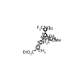 CCOC(=O)CCN1CCN(c2cnc(-c3nc4nc(-c5cc(OCC)nc(C(F)(F)F)c5)cc(N(C)CC(C)(C)COC)c4[nH]3)cn2)C[C@H]1C